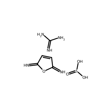 N=C(N)N.N=C1C=CC(=N)O1.O=S(O)O